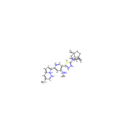 CC(=O)N[C@@H]1[C@@H]2CC[C@H]1CN(c1nnc(-c3cnc(-c4ccc5cc(C#N)cnn45)cc3NC(C)C)s1)C2